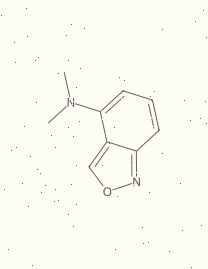 CN(C)c1cccc2nocc12